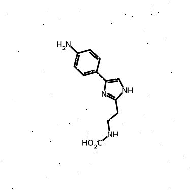 Nc1ccc(-c2c[nH]c(CCNC(=O)O)n2)cc1